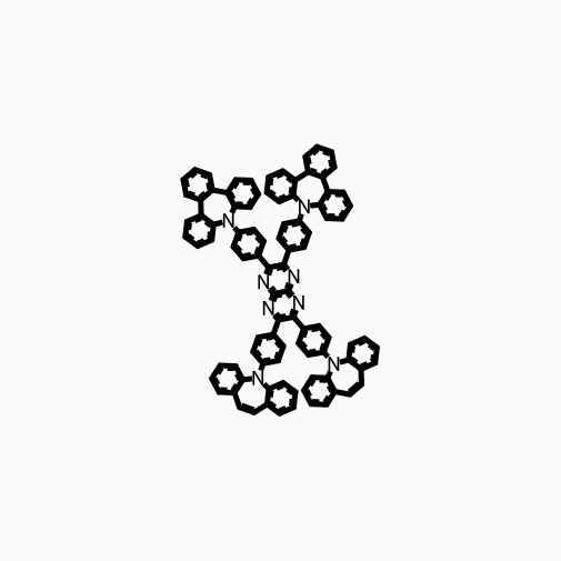 C1=Cc2ccccc2N(c2ccc(-c3nc4nc(-c5ccc(N6c7ccccc7-c7ccccc7-c7ccccc76)cc5)c(-c5ccc(N6c7ccccc7-c7ccccc7-c7ccccc76)cc5)nc4nc3-c3ccc(N4c5ccccc5C=Cc5ccccc54)cc3)cc2)c2ccccc21